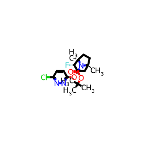 CC(C)(C)OC(=O)N1[C@@]2(C)CC[C@]1(C)[C@@H](F)[C@@H](Oc1ccc(Cl)nn1)C2